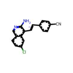 N#Cc1ccc(/C=C/c2c(N)ncc3ccc(Cl)cc23)cc1